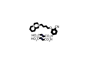 N#Cc1ccccc1OCCCCN1CCN2CCCCC2C1.O=C(O)/C=C/C(=O)O.O=C(O)/C=C/C(=O)O